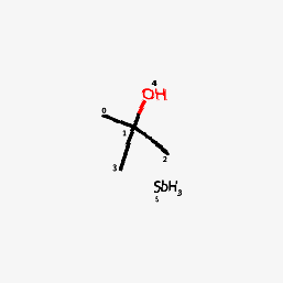 CC(C)(C)O.[SbH3]